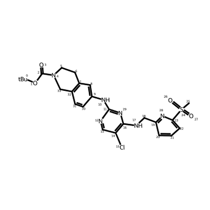 CC(C)(C)OC(=O)N1CCc2cc(Nc3ncc(Cl)c(NCc4cccc(S(C)(=O)=O)n4)n3)ccc2C1